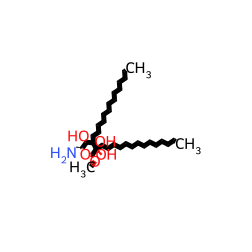 CCCCCCCCCCCCCC[C@]1(O)[C@@H](OC)O[C@H](CN)[C@@H](O)[C@@]1(O)CCCCCCCCCCCCCC